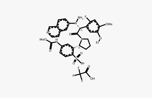 CCOc1cc([C@H](C(=O)N2CCC[C@@H]2c2cc(NC(=O)OC)ccc2S(=O)(=O)C(C)C)N(N)c2ccc3cnccc3c2)c(F)cc1OC.O=C(O)C(F)(F)F